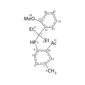 CCC(CC)(Pc1ccc(C)cc1C(C)=O)c1ccccc1OC